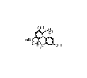 CCCCc1cc(O)c(C(C)C)c(-c2c(C)cc(O)cc2C)c1C=O